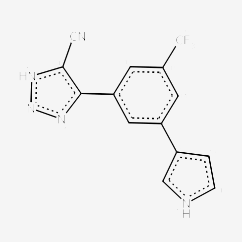 N#Cc1[nH]nnc1-c1cc(-c2cc[nH]c2)cc(C(F)(F)F)c1